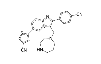 N#Cc1ccc(-c2nc3ccc(-c4cc(C#N)cs4)cn3c2CN2CCCNCC2)cc1